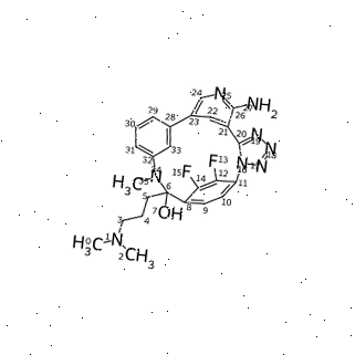 CN(C)CCCC1(O)c2ccc(c(F)c2F)-n2nnnc2-c2cc(cnc2N)-c2cccc(c2)N1C